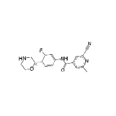 Cc1cc(C(=O)NC2=CC(F)C([C@H]3CNCCO3)C=C2)cc(C#N)n1